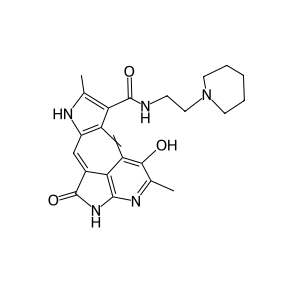 Cc1nc2c(c(C)c1O)C(=Cc1[nH]c(C)c(C(=O)NCCN3CCCCC3)c1C)C(=O)N2